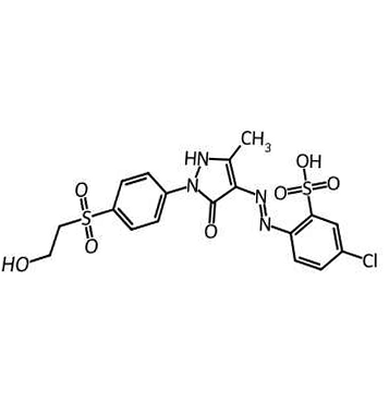 Cc1[nH]n(-c2ccc(S(=O)(=O)CCO)cc2)c(=O)c1N=Nc1ccc(Cl)cc1S(=O)(=O)O